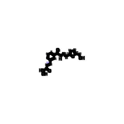 O=C(/C=C/c1cccc(C(=O)N/N=C/c2ccc(CO)o2)c1)NO